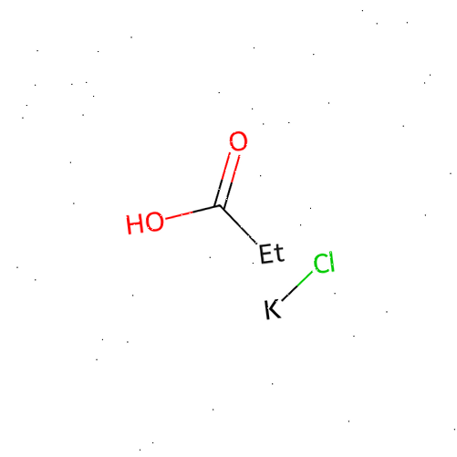 CCC(=O)O.[Cl][K]